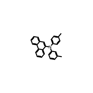 Cc1ccc(N(c2cccc(C)c2)c2cc3ccccc3c3ccccc23)cc1